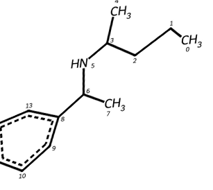 CCCC(C)NC(C)c1ccccc1